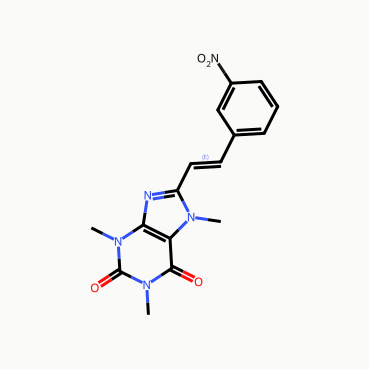 Cn1c(=O)c2c(nc(/C=C/c3cccc([N+](=O)[O-])c3)n2C)n(C)c1=O